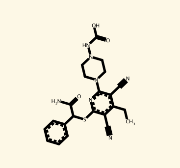 CCc1c(C#N)c(SC(C(N)=O)c2ccccc2)nc(N2CCN(NC(=O)O)CC2)c1C#N